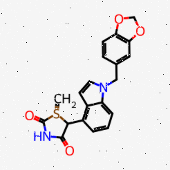 C=S1C(=O)NC(=O)C1c1cccc2c1ccn2Cc1ccc2c(c1)OCO2